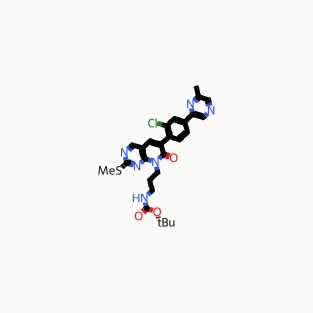 CSc1ncc2cc(-c3ccc(-c4cncc(C)n4)cc3Cl)c(=O)n(CCCNC(=O)OC(C)(C)C)c2n1